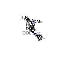 CO/N=C(\C(=O)N[C@@H]1C(=O)N2C(C(=O)[O-])=C(/C=C/C[N+]3(C)CCNCC3)CS[C@@H]12)c1nsc(N)n1